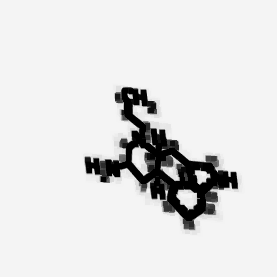 C=CCN1CC(N)C[C@@H]2c3cccc4[nH]cc(c34)C[C@H]21